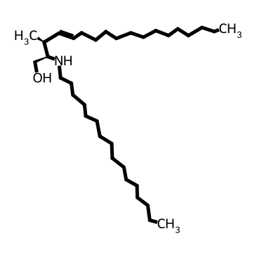 CCCCCCCCCCCCC/C=C/[C@H](C)[C@H](CO)NCCCCCCCCCCCCCCCC